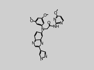 COc1cc(OC)cc(N(CC(=O)Nc2nccc(OC)n2)c2ccc3ncc(-c4cnn(C)c4)nc3c2)c1